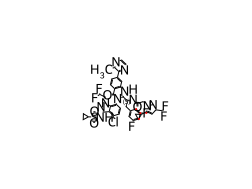 Cc1nccnc1-c1ccc2c(=O)n(-c3ccc(Cl)c4c(NS(=O)(=O)C5CC5)nn(CC(F)F)c34)c([C@H](Cc3cc(F)cc(F)c3)NC(=O)Cn3nc(C(F)F)cc3C3CC3)nc2c1